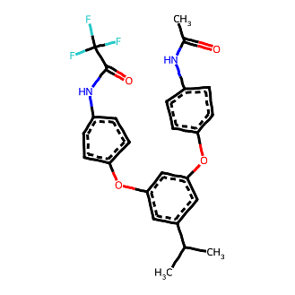 CC(=O)Nc1ccc(Oc2cc(Oc3ccc(NC(=O)C(F)(F)F)cc3)cc(C(C)C)c2)cc1